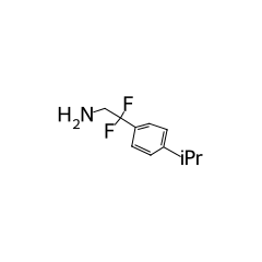 CC(C)c1ccc(C(F)(F)CN)cc1